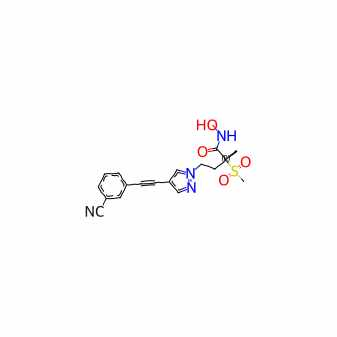 C[C@@](CCn1cc(C#Cc2cccc(C#N)c2)cn1)(C(=O)NO)S(C)(=O)=O